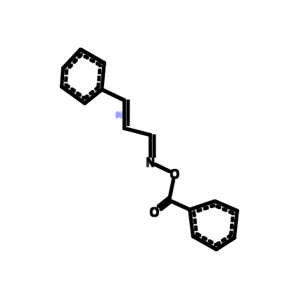 O=C(ON=C/C=C/c1ccccc1)c1ccccc1